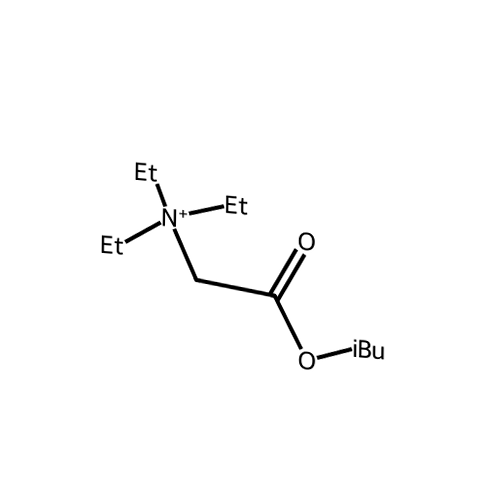 CCC(C)OC(=O)C[N+](CC)(CC)CC